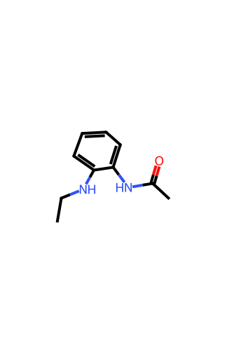 CCNc1ccccc1NC(C)=O